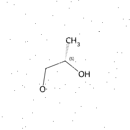 C[C@H](O)C[O]